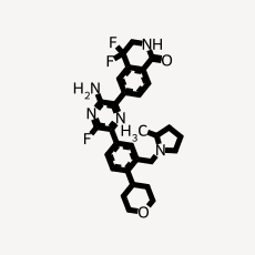 CC1CCCN1Cc1cc(-c2nc(-c3ccc4c(c3)C(F)(F)CNC4=O)c(N)nc2F)ccc1C1CCOCC1